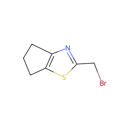 BrCc1nc2c(s1)CCC2